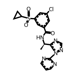 C[C@@H](NC(=O)c1cc(Cl)cc(S(=O)(=O)C2CC2)c1)c1ncnn1-c1ncccn1